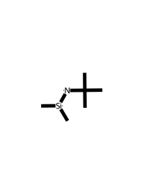 C[Si](C)[N]C(C)(C)C